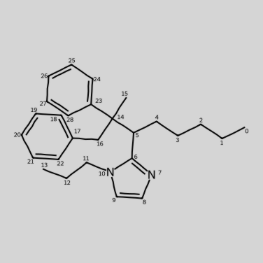 CCCCCC(c1nccn1CCC)C(C)(Cc1ccccc1)c1ccccc1